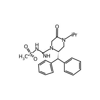 CC(C)N1C[C@H](C(c2ccccc2)c2ccccc2)N(C(=N)NS(C)(=O)=O)CC1=O